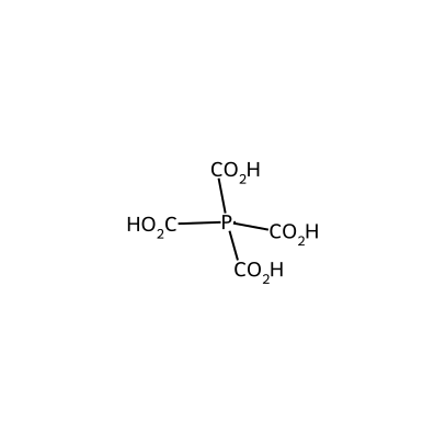 O=C(O)[P](C(=O)O)(C(=O)O)C(=O)O